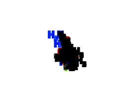 Cc1c(=O)n(C)c(Nc2ccccc2F)c2c(=O)n(C3CC3)c(=O)n(-c3cccc(NC(=O)CCN)c3)c12